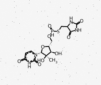 C[C@@]1(O)[C@H](O)[C@@H](CO[PH](=O)SCC2NC(=O)NC2=O)O[C@H]1n1ccc(=O)[nH]c1=O